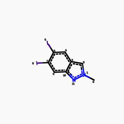 Cn1cc2cc(I)c(I)cc2n1